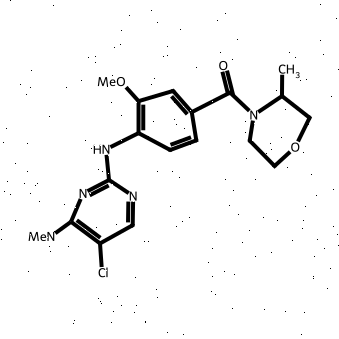 CNc1nc(Nc2ccc(C(=O)N3CCOCC3C)cc2OC)ncc1Cl